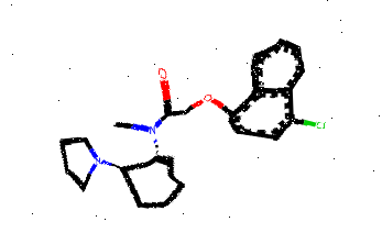 CN(C(=O)COc1ccc(Cl)c2ccccc12)[C@@H]1CCCC[C@H]1N1CCCC1